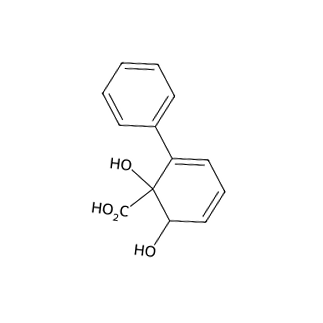 O=C(O)C1(O)C(c2ccccc2)=CC=CC1O